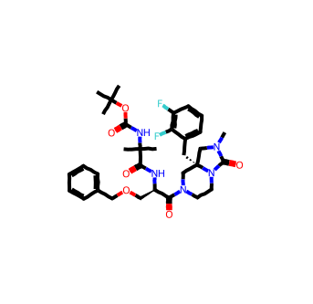 CN1C[C@]2(Cc3cccc(F)c3F)CN(C(=O)[C@@H](COCc3ccccc3)NC(=O)C(C)(C)NC(=O)OC(C)(C)C)CCN2C1=O